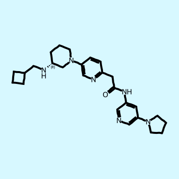 O=C(Cc1ccc(N2CCC[C@@H](NCC3CCC3)C2)cn1)Nc1cncc(N2CCCC2)c1